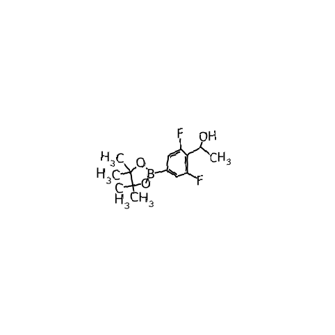 CC(O)c1c(F)cc(B2OC(C)(C)C(C)(C)O2)cc1F